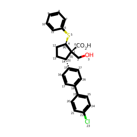 O=C(O)[C@]1(CO)[C@H](Sc2ccccc2)CC[C@H]1c1ccc(-c2ccc(Cl)cc2)cc1